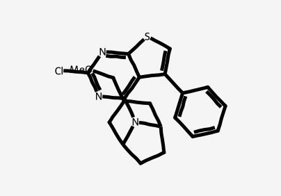 COCC1CC2CCC(C1)N2c1nc(Cl)nc2scc(-c3ccccc3)c12